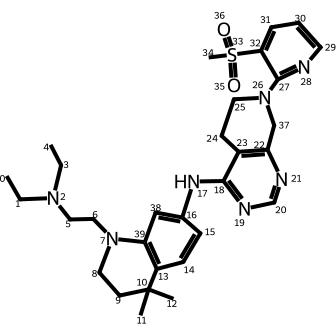 CCN(CC)CCN1CCC(C)(C)c2ccc(Nc3ncnc4c3CCN(c3ncccc3S(C)(=O)=O)C4)cc21